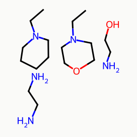 CCN1CCCCC1.CCN1CCOCC1.NCCN.NCCO